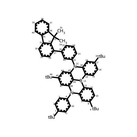 CC(C)(C)c1ccc(N2c3cc(C(C)(C)C)ccc3B3c4ccc(C(C)(C)C)cc4N(c4cccc(-c5cccc6c5C(C)(C)c5ccccc5-6)c4)c4cc(C(C)(C)C)cc2c43)cc1